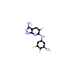 Nc1n[nH]c2nc(Nc3cc(F)c(F)c(C(F)(F)F)c3)c(F)cc12